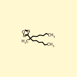 CCCCCCC(C)(CCCCCC)c1ncon1